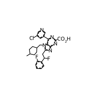 CC1CCC(Cn2c(CC(F)c3ccccc3F)nc3nc(C(=O)O)nc(-c4cncc(Cl)c4)c32)CC1